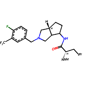 CN[C@@H](CC(C)C)C(=O)NC1CC[C@H]2CN(Cc3ccc(F)c(C(F)(F)F)c3)CC12